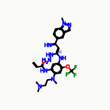 C=CC(=O)Nc1cc(N/C(=C/C(=N)c2ccc3c(cnn3C)c2)NN)c(OC(F)(F)F)cc1N(C)CCN(C)C